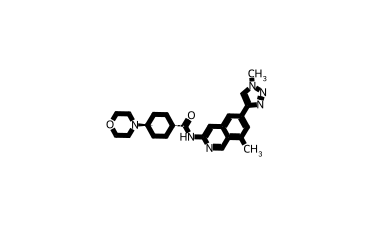 Cc1cc(-c2cn(C)nn2)cc2cc(NC(=O)[C@H]3CC[C@H](N4CCOCC4)CC3)ncc12